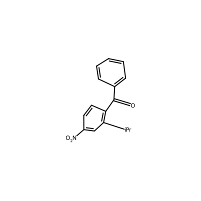 CC(C)c1cc([N+](=O)[O-])ccc1C(=O)c1ccccc1